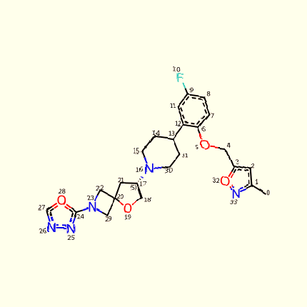 Cc1cc(COc2ccc(F)cc2C2CCN([C@@H]3COC4(C3)CN(c3nnco3)C4)CC2)on1